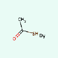 CC(=O)S.[Dy]